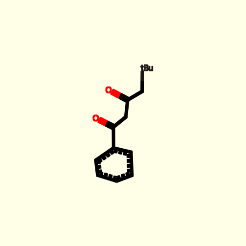 CC(C)(C)CC(=O)CC(=O)c1ccccc1